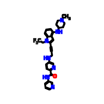 CN1CCC(Nc2cccc3c2cc(C#CCNc2ccc(C(=O)Nc4cccnc4)nc2)n3CC(F)(F)F)CC1